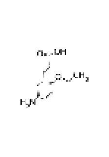 CCOc1ccc(N)cc1C=CC(=O)O